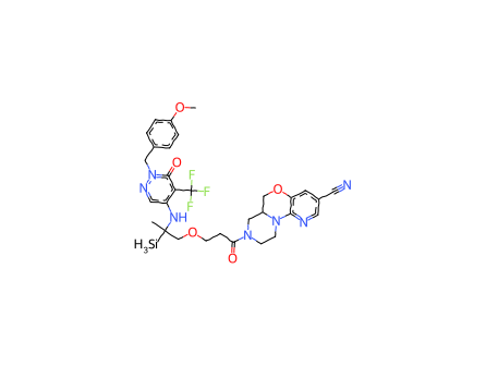 COc1ccc(Cn2ncc(NC(C)([SiH3])COCCC(=O)N3CCN4c5ncc(C#N)cc5OCC4C3)c(C(F)(F)F)c2=O)cc1